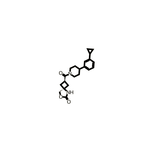 O=C1N[C@]2(CO1)C[C@H](C(=O)N1CCC(c3cccc(C4CC4)c3)CC1)C2